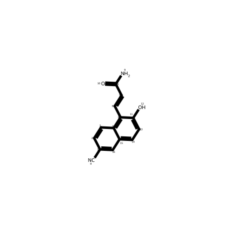 N#Cc1ccc2c(/C=C/C(N)=O)c(O)ccc2c1